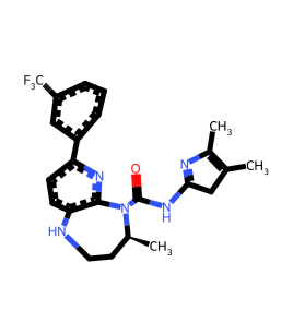 CC1=C(C)N=C(NC(=O)N2c3nc(-c4cccc(C(F)(F)F)c4)ccc3NCC[C@@H]2C)C1